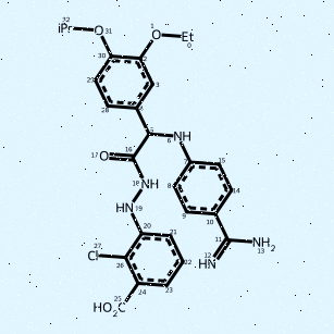 CCOc1cc(C(Nc2ccc(C(=N)N)cc2)C(=O)NNc2cccc(C(=O)O)c2Cl)ccc1OC(C)C